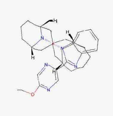 COc1cnc(-c2nc3ccccc3n2[C@H]2C[C@H]3CCC[C@@H](C2)N3[C@@H]2C[C@@H]3CCCC[C@@H](C3)C2)cn1